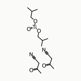 CC(=O)CC#N.CC(=O)CC#N.CC(C)C[O][Ti](=[O])[O]CC(C)C